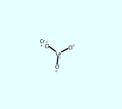 [Cl][La]([Cl])[Cl].[Cr]